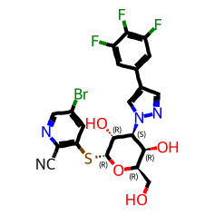 N#Cc1ncc(Br)cc1S[C@H]1O[C@H](CO)[C@H](O)[C@H](n2cc(-c3cc(F)c(F)c(F)c3)cn2)[C@H]1O